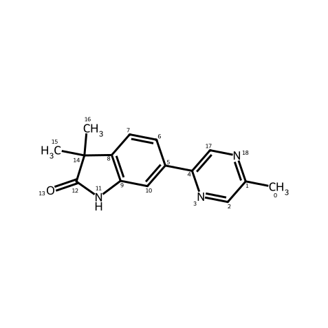 Cc1cnc(-c2ccc3c(c2)NC(=O)C3(C)C)cn1